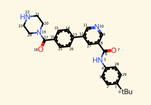 CC(C)(C)c1ccc(NC(=O)c2cncc(-c3ccc(C(=O)N4CCNCC4)cc3)c2)cc1